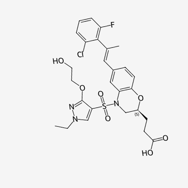 CCn1cc(S(=O)(=O)N2C[C@H](CCC(=O)O)Oc3ccc(C=C(C)c4c(F)cccc4Cl)cc32)c(OCCO)n1